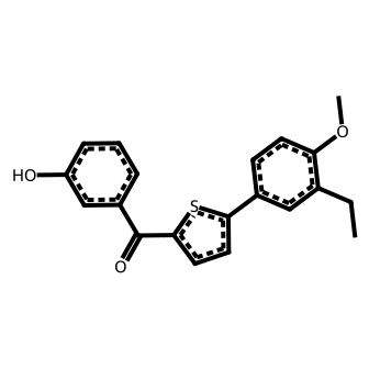 CCc1cc(-c2ccc(C(=O)c3cccc(O)c3)s2)ccc1OC